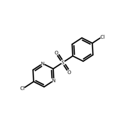 O=S(=O)(c1ccc(Cl)cc1)c1ncc(Cl)cn1